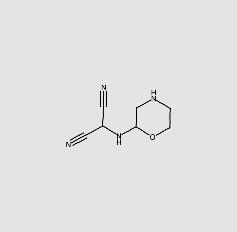 N#CC(C#N)NC1CNCCO1